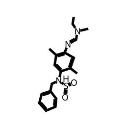 CCN(C)C=Nc1cc(C)c(N(Cc2ccccc2)[SH](=O)=O)cc1C